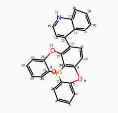 O=P12c3ccccc3Oc3ccc(-c4ccnc5ccccc45)c(c31)Oc1ccccc12